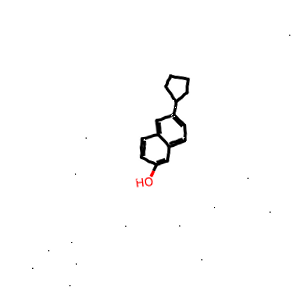 Oc1ccc2cc(C3CCCC3)ccc2c1